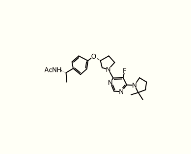 CC(=O)N[C@@H](C)c1ccc(O[C@@H]2CCN(c3ncnc(N4CCCC4(C)C)c3F)C2)cc1